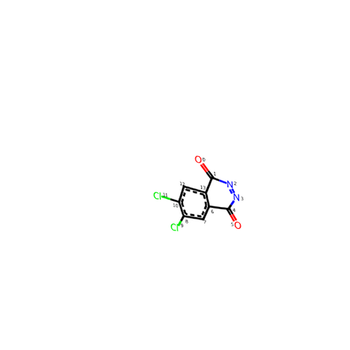 O=C1N=NC(=O)c2cc(Cl)c(Cl)cc21